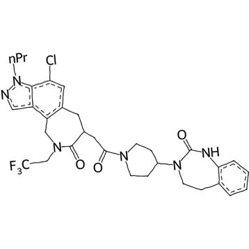 CCCn1ncc2c3c(cc(Cl)c21)CC(CC(=O)N1CCC(N2CCc4ccccc4NC2=O)CC1)C(=O)N(CC(F)(F)F)C3